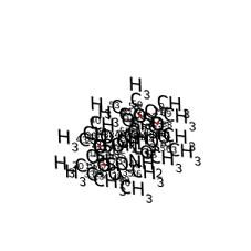 CCO[Si](OCC)(OCC)C(CCN(CCC([Si](OCC)(OCC)OCC)([Si](OCC)(OCC)OCC)[Si](OCC)(OCC)OCC)C(N)=O)([Si](OCC)(OCC)OCC)[Si](OCC)(OCC)OCC